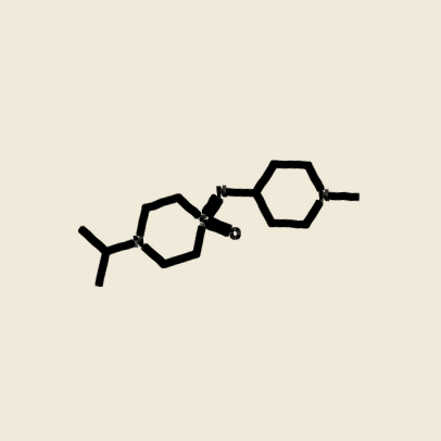 CC(C)N1CCS(=O)(=NC2CCN(C)CC2)CC1